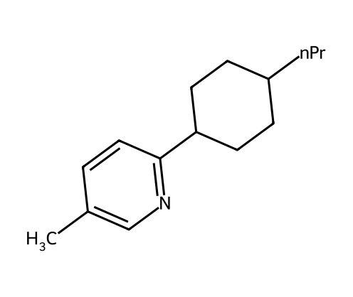 CCCC1CCC(c2ccc(C)cn2)CC1